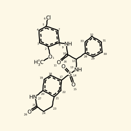 COc1ccc(Cl)cc1NC(=O)C(NS(=O)(=O)c1ccc2c(c1)CCC(=O)N2)c1ccccc1